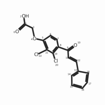 O=C(O)COc1ccc(C(=O)C=Cc2ccccc2)c(Cl)c1Cl